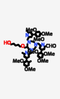 COc1cc(C)c(-c2cc(C)nc(CN3CCN(Cc4cc(-c5c(OC)cc(OC)cc5OC)cc(C=O)n4)CCN(Cc4cc(-c5c(OC)cc(OC)cc5OC)cc(C)n4)CC(COCCCCCO)C3)c2)c(OC)c1